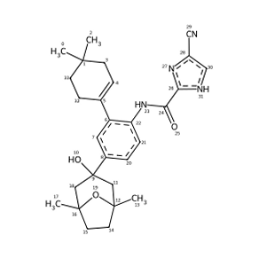 CC1(C)CC=C(c2cc(C3(O)CC4(C)CCC(C)(C3)O4)ccc2NC(=O)c2nc(C#N)c[nH]2)CC1